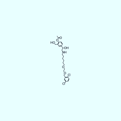 CC(=O)Oc1ccc(C(O)CNCCCCCCOCCOCc2cc(Cl)ccc2Cl)cc1CO